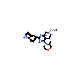 CC1COCCN1c1nc(-c2ccc3[nH]ccc3c2)nc2c1CCN(C(=O)O)C2